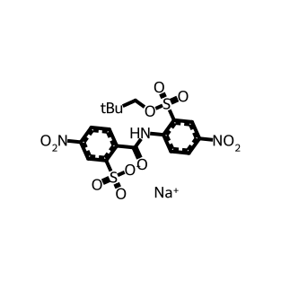 CC(C)(C)COS(=O)(=O)c1cc([N+](=O)[O-])ccc1NC(=O)c1ccc([N+](=O)[O-])cc1S(=O)(=O)[O-].[Na+]